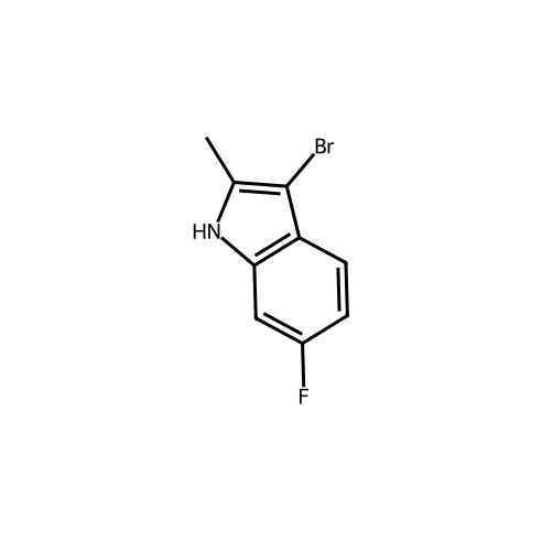 Cc1[nH]c2cc(F)ccc2c1Br